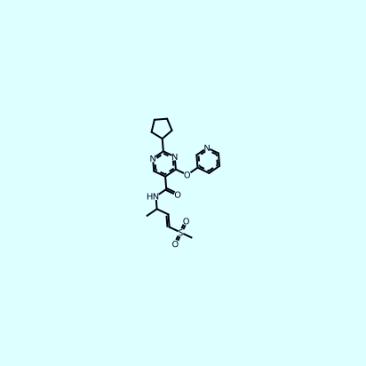 CC(C=CS(C)(=O)=O)NC(=O)c1cnc(C2CCCC2)nc1Oc1cccnc1